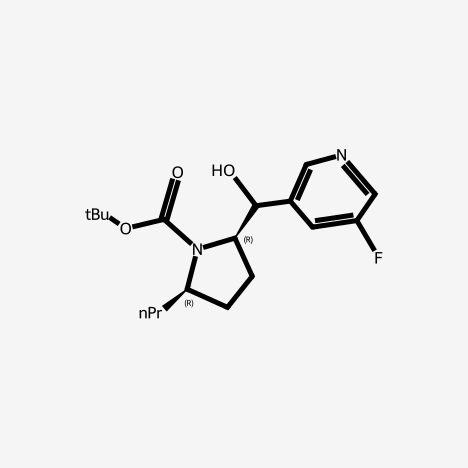 CCC[C@@H]1CC[C@H](C(O)c2cncc(F)c2)N1C(=O)OC(C)(C)C